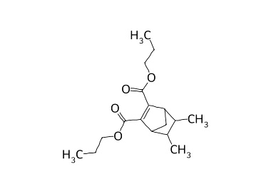 CCCOC(=O)C1=C(C(=O)OCCC)C2CC1C(C)C2C